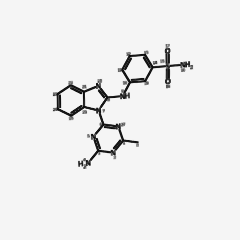 Cc1nc(N)nc(-n2c(Nc3cccc(S(N)(=O)=O)c3)nc3ccccc32)n1